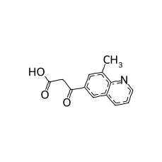 Cc1cc(C(=O)CC(=O)O)cc2cccnc12